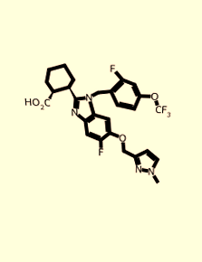 Cn1ccc(COc2cc3c(cc2F)nc([C@@H]2CCCC[C@@H]2C(=O)O)n3Cc2ccc(OC(F)(F)F)cc2F)n1